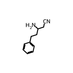 N#CCC(N)CCc1ccccc1